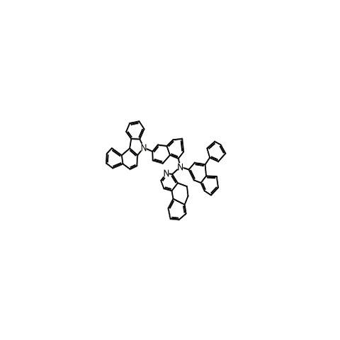 c1ccc(-c2cc(N(c3nccc4c3CCc3ccccc3-4)c3cccc4cc(-n5c6ccccc6c6c7ccccc7ccc65)ccc34)cc3ccccc23)cc1